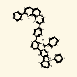 c1ccc(-c2ccc3ccc4ccc(-c5ccc(-c6cccc7c6nc(-c6ccccc6)c6cc8c(cc67)c6ccccc6n8-c6ccccc6)cc5)nc4c3n2)cc1